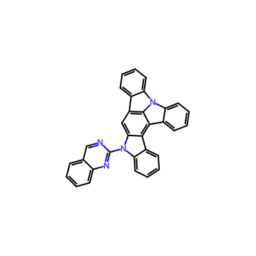 c1ccc2nc(-n3c4ccccc4c4c5c6ccccc6n6c7ccccc7c(cc43)c56)ncc2c1